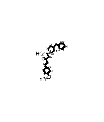 CCCOc1ccc(C=CC(=O)CCN2CCC(Cc3ccccc3)CC2)cc1.Cl